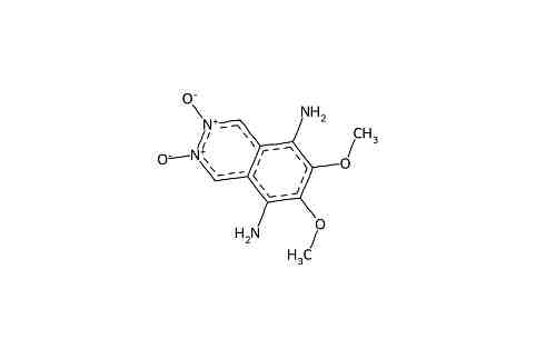 COc1c(OC)c(N)c2c[n+]([O-])[n+]([O-])cc2c1N